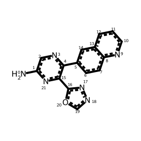 Nc1cnc(-c2ccc3ncccc3c2)c(-c2nnco2)n1